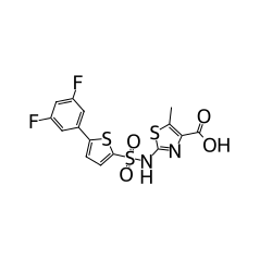 Cc1sc(NS(=O)(=O)c2ccc(-c3cc(F)cc(F)c3)s2)nc1C(=O)O